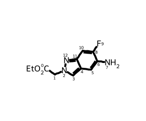 CCOC(=O)Cn1cc2cc(N)c(F)cc2n1